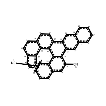 N#Cc1ccc2c(ccc3cc(C#N)c4c5cc6ccccc6cc5c5ccc6ccc7ccccc7c6c5c4c32)c1